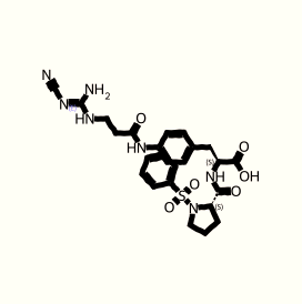 N#C/N=C(\N)NCCC(=O)Nc1ccc(C[C@H](NC(=O)[C@@H]2CCCN2S(=O)(=O)c2ccccc2)C(=O)O)cc1